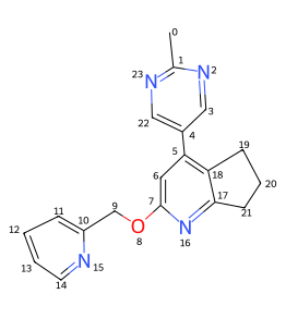 Cc1ncc(-c2cc(OCc3ccccn3)nc3c2CCC3)cn1